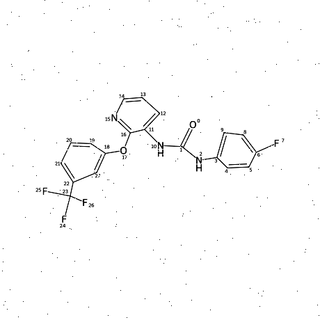 O=C(Nc1ccc(F)cc1)Nc1cccnc1Oc1cccc(C(F)(F)F)c1